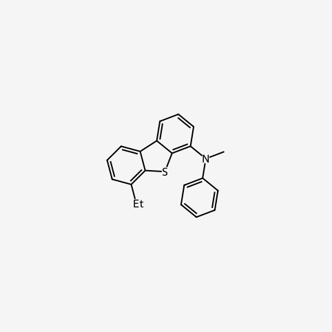 CCc1cccc2c1sc1c(N(C)c3ccccc3)cccc12